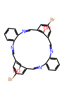 Oc1c2cnc3ccccc3ncc3cc(Br)cc(cnc4ccccc4ncc1cc(Br)c2)c3O